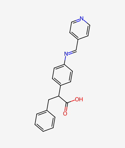 O=C(O)C(Cc1ccccc1)c1ccc(N=Cc2ccncc2)cc1